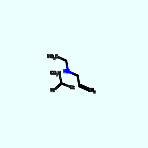 C=CCNCC(=O)O.CCC(CC)C(=O)O